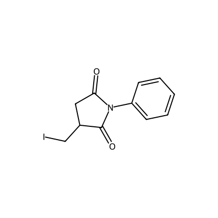 O=C1CC(CI)C(=O)N1c1ccccc1